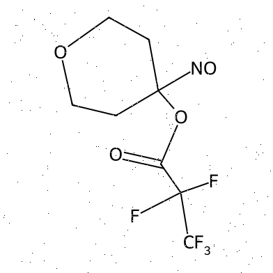 O=NC1(OC(=O)C(F)(F)C(F)(F)F)CCOCC1